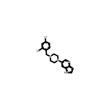 Clc1ccc(CN2CCN(c3cnc4cc[nH]c4c3)CC2)c(Cl)c1